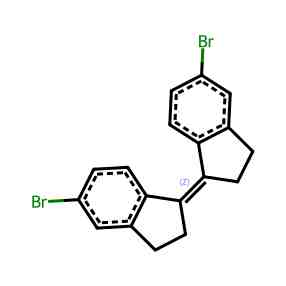 Brc1ccc2c(c1)CC/C2=C1\CCc2cc(Br)ccc21